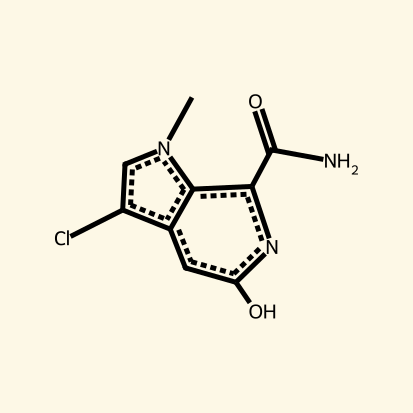 Cn1cc(Cl)c2cc(O)nc(C(N)=O)c21